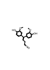 COc1cc(C(=CCC=C=O)c2ccc(O)c(OC)c2)ccc1O